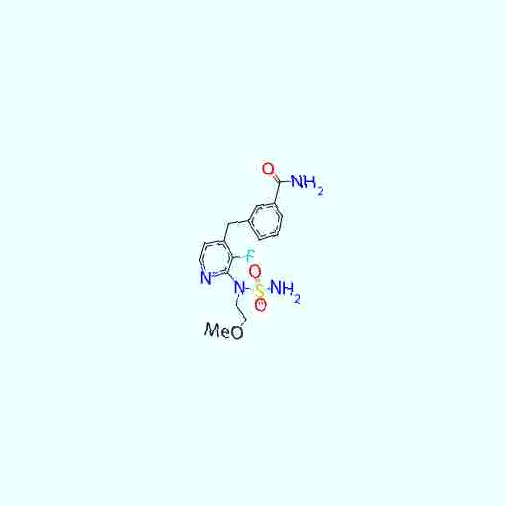 COCCN(c1nccc(Cc2cccc(C(N)=O)c2)c1F)S(N)(=O)=O